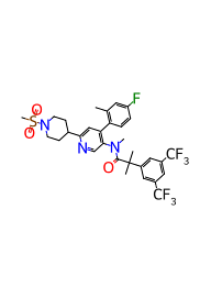 Cc1cc(F)ccc1-c1cc(C2CCN(S(C)(=O)=O)CC2)ncc1N(C)C(=O)C(C)(C)c1cc(C(F)(F)F)cc(C(F)(F)F)c1